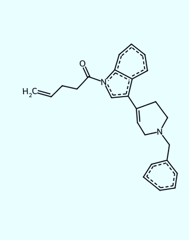 C=CCCC(=O)n1cc(C2=CCN(Cc3ccccc3)CC2)c2ccccc21